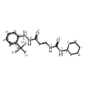 O=C(CCNC(=O)NC1CCCCC1)NNc1ccccc1C(F)(F)F